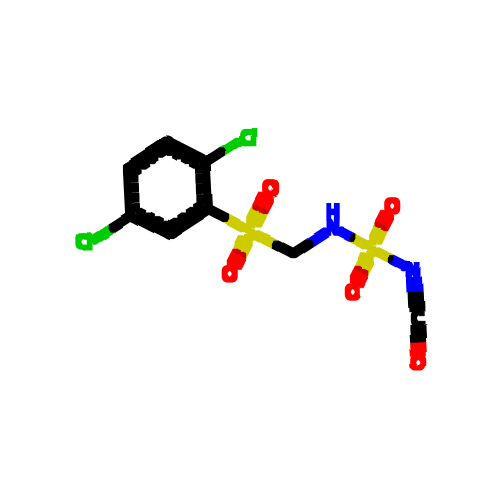 O=C=NS(=O)(=O)NCS(=O)(=O)c1cc(Cl)ccc1Cl